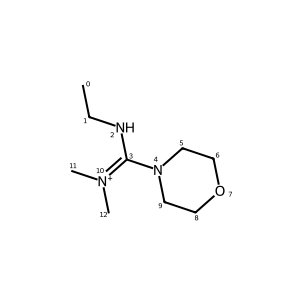 CCNC(N1CCOCC1)=[N+](C)C